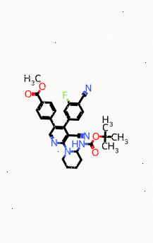 COC(=O)c1ccc(-c2cnc(N3CCCCC3NC(=O)OC(C)(C)C)c(C#N)c2-c2ccc(C#N)c(F)c2)cc1